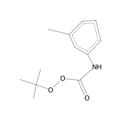 Cc1cccc(NC(=O)OOC(C)(C)C)c1